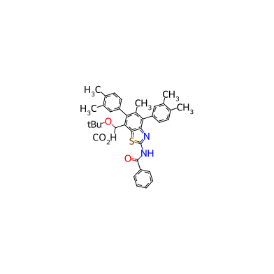 Cc1ccc(-c2c(C)c(-c3ccc(C)c(C)c3)c3nc(NC(=O)c4ccccc4)sc3c2C(OC(C)(C)C)C(=O)O)cc1C